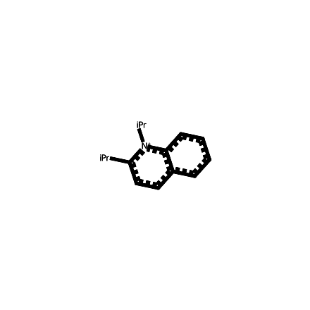 CC(C)c1ccc2ccccc2[n+]1C(C)C